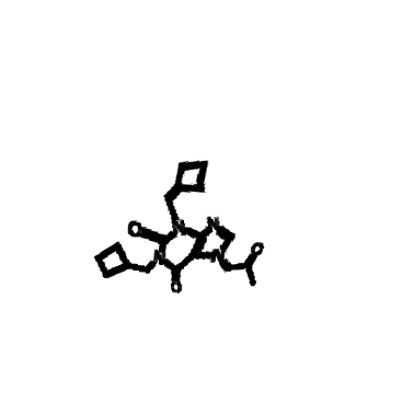 CC(=O)Cn1cnc2c1c(=O)n(CC1CCC1)c(=O)n2CC1CCC1